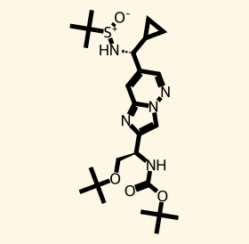 CC(C)(C)OC[C@H](NC(=O)OC(C)(C)C)c1cn2ncc([C@H](N[S+]([O-])C(C)(C)C)C3CC3)cc2n1